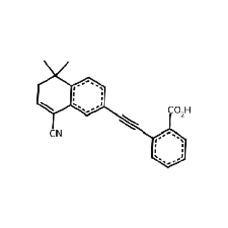 CC1(C)CC=C(C#N)c2cc(C#Cc3ccccc3C(=O)O)ccc21